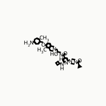 CC1=CCC(N)=CC=C1COc1ccc2c(c1C)CCN(C[C@@H](O)CNC(=O)c1cc(NC3CCC3)nc(N3CCN(C(=O)C4CC4)CC3)c1)C2